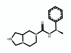 C[C@@H](NC(=O)N1CCN2CNCC2C1)c1ccccc1